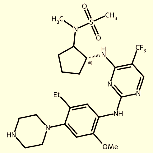 CCc1cc(Nc2ncc(C(F)(F)F)c(N[C@@H]3CCCC3N(C)S(C)(=O)=O)n2)c(OC)cc1N1CCNCC1